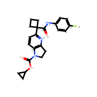 O=C(OC1CC1)N1CCc2nc(C3(C(=O)Nc4ccc(F)cc4)CCC3)ccc21